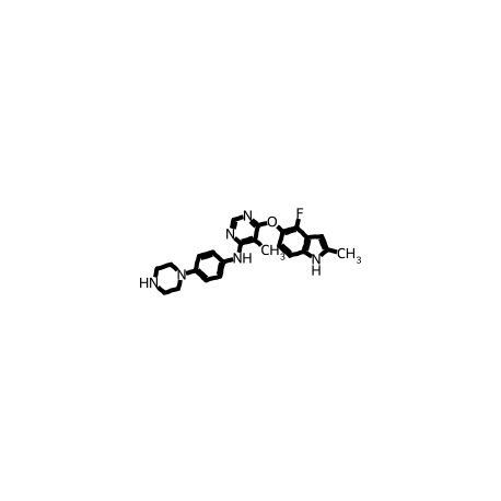 Cc1cc2c(F)c(Oc3ncnc(Nc4ccc(N5CCNCC5)cc4)c3C)ccc2[nH]1